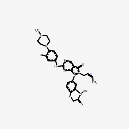 C/C=C\Cn1c(=O)c2cnc(Nc3ccc(N4CCN(C)CC4)c(Cl)c3)nc2n1-c1ccc2c(c1)N(CCC)C(=O)CO2